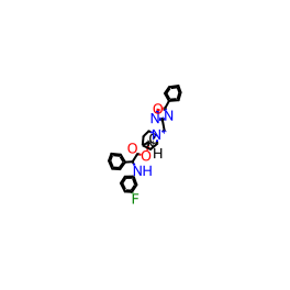 O=C(O[C@H]1C[N+]2(Cc3noc(-c4ccccc4)n3)CCC1CC2)C(Nc1cccc(F)c1)c1ccccc1